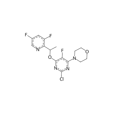 CC(Oc1nc(Cl)nc(N2CCOCC2)c1F)c1ncc(F)cc1F